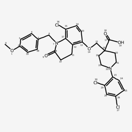 COc1ccc(CN2C(=O)CCc3c(OCC4(C(=O)O)CCN(c5ccc(Cl)cc5Cl)CC4)ccc(Cl)c32)cc1